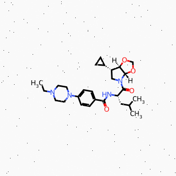 CCN1CCN(c2ccc(C(=O)N[C@@H](CC(C)C)C(=O)N3C[C@H](C4CC4)[C@H]4OCO[C@@H]43)cc2)CC1